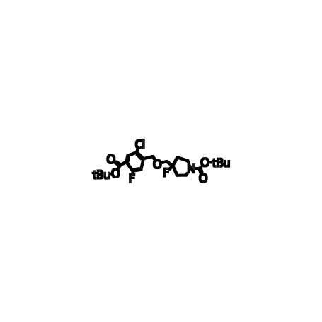 CC(C)(C)OC(=O)c1cc(Cl)c(COCC2(F)CCN(C(=O)OC(C)(C)C)CC2)cc1F